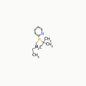 CCCCP(c1ccccn1)C(C)(C)C